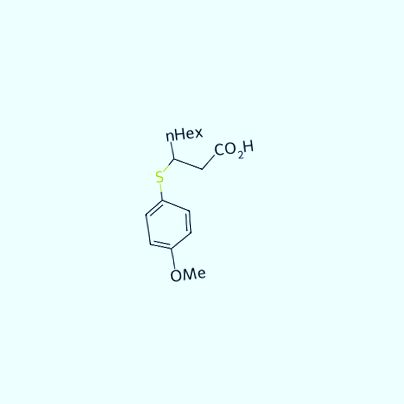 CCCCCCC(CC(=O)O)Sc1ccc(OC)cc1